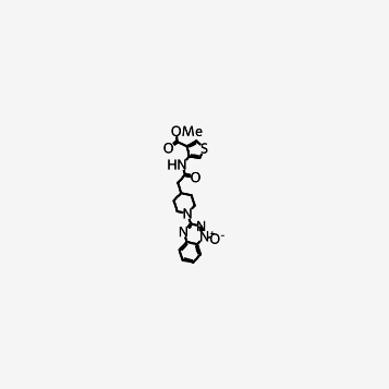 COC(=O)c1cscc1NC(=O)CC1CCN(c2nc3ccccc3[n+]([O-])n2)CC1